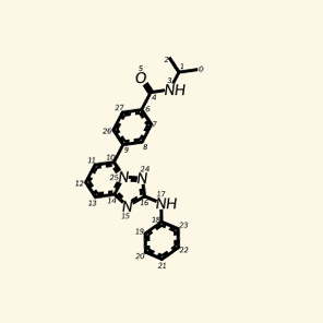 CC(C)NC(=O)c1ccc(-c2cccc3nc(Nc4ccccc4)nn23)cc1